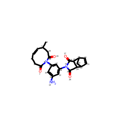 CC1/C=C\CCC(=O)N(c2cc(N)cc(N3C(=O)C4C5C=CC(C5)C4C3=O)c2)C(=O)C1